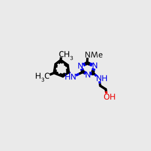 CNc1nc(NCCO)nc(Nc2cc(C)cc(C)c2)n1